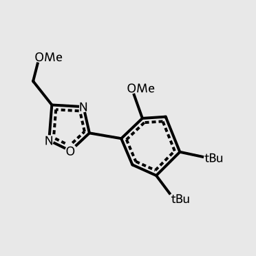 COCc1noc(-c2cc(C(C)(C)C)c(C(C)(C)C)cc2OC)n1